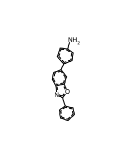 Nc1ccc(-c2ccc3nc(-c4ccccc4)oc3c2)cc1